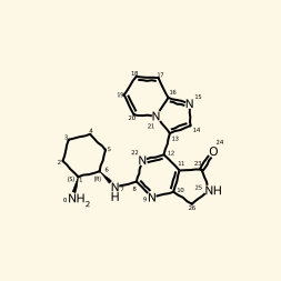 N[C@H]1CCCC[C@H]1Nc1nc2c(c(-c3cnc4ccccn34)n1)C(=O)NC2